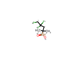 CC(C)(CC(F)(F)CF)[SH](=O)=O